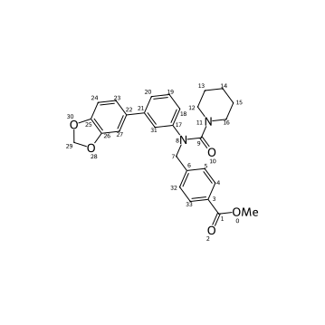 COC(=O)c1ccc(CN(C(=O)N2CCCCC2)c2cccc(-c3ccc4c(c3)OCO4)c2)cc1